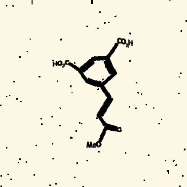 COC(=O)C=Cc1cc(C(=O)O)cc(C(=O)O)c1